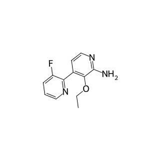 CCOc1c(-c2ncccc2F)ccnc1N